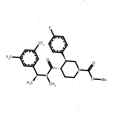 C[C@@H](c1cc(C(F)(F)F)cc(C(F)(F)F)c1)N(C)C(=O)[C@H]1CCN(C(=O)OC(C)(C)C)C[C@@H]1c1ccc(F)cc1